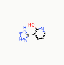 Oc1ncccc1-c1nnn[nH]1